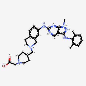 Cc1cccc(C)c1Nc1nn(C)c2nc(Nc3ccc4c(c3)CN(CC3CCN(CC(=O)O)CC3)CC4)ncc12